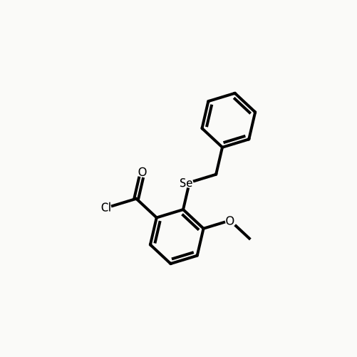 COc1cccc(C(=O)Cl)c1[Se]Cc1ccccc1